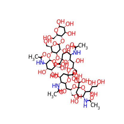 CC(=O)N[C@H]1[C@H](O[C@@H]2[C@H](O[C@]3(C(=O)O)C[C@H](O)[C@@H](NC(C)=O)[C@H]([C@H](O)[C@@H](CO)O[C@]4(C(=O)O)C[C@H](O)[C@@H](NC(C)=O)[C@H]([C@H](O)[C@@H](CO)O[C@]5(C(=O)O)C[C@H](O)[C@@H](NC(C)=O)[C@H]([C@H](O)[C@H](O)CO)O5)O4)O3)[C@@H](O)[C@H](O[C@H]3[C@H](O)[C@@H](O)[C@H](O)O[C@@H]3CO)O[C@@H]2CO)O[C@H](CO)[C@H](O)[C@@H]1O